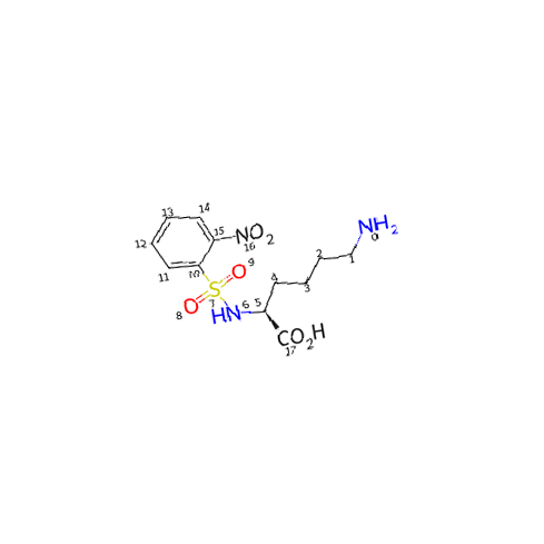 NCCCC[C@H](NS(=O)(=O)c1ccccc1[N+](=O)[O-])C(=O)O